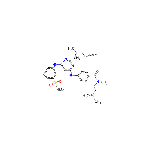 CNCCN(C)C.CNS(=O)(=O)c1cccc(Nc2cc(Nc3ccc(C(=O)N(C)CCN(C)C)cc3)ncn2)c1